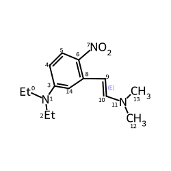 CCN(CC)c1ccc([N+](=O)[O-])c(/C=C/N(C)C)c1